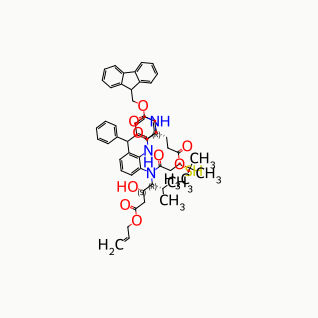 C=CCOC(=O)C[C@H](O)[C@@H](C(C)C)N(C(=O)CCS)c1cccc(C(c2ccccc2)c2ccccc2)c1NC(=O)[C@@H](CCC(=O)OC(C)(C)C)NC(=O)OCC1c2ccccc2-c2ccccc21